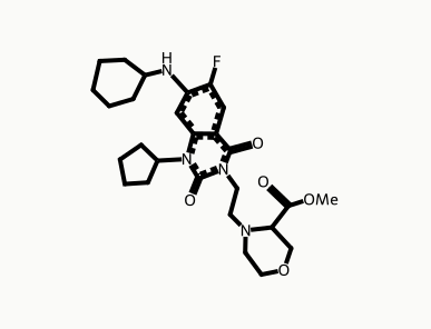 COC(=O)C1COCCN1CCn1c(=O)c2cc(F)c(NC3CCCCC3)cc2n(C2CCCC2)c1=O